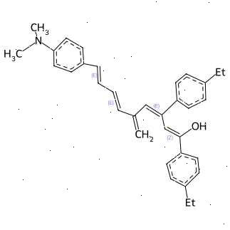 C=C(/C=C/C=C/c1ccc(N(C)C)cc1)/C=C(\C=C(/O)c1ccc(CC)cc1)c1ccc(CC)cc1